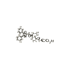 O=C(O)COc1cccc2c1CCC[C@H]2OCc1nc(-c2ccccc2)c(-c2ccccc2)o1